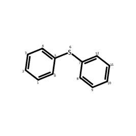 [c]1ccc[c]c1Sc1[c]ccc[c]1